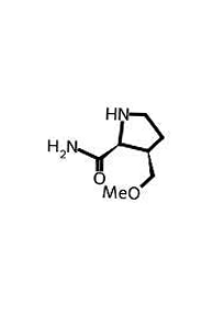 COC[C@@H]1CCN[C@@H]1C(N)=O